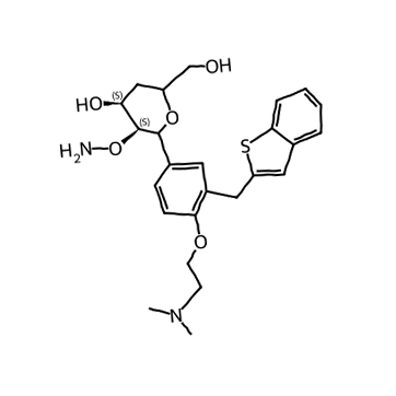 CN(C)CCOc1ccc(C2OC(CO)C[C@H](O)[C@@H]2ON)cc1Cc1cc2ccccc2s1